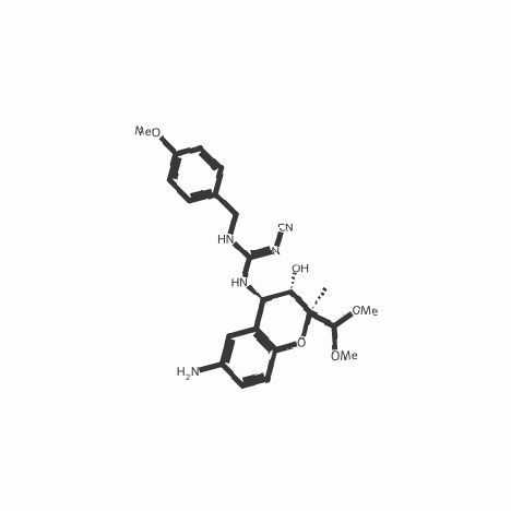 COc1ccc(CNC(=NC#N)N[C@@H]2c3cc(N)ccc3O[C@](C)(C(OC)OC)[C@H]2O)cc1